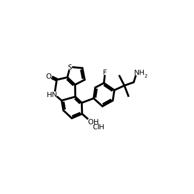 CC(C)(CN)c1ccc(-c2c(O)ccc3[nH]c(=O)c4sccc4c23)cc1F.Cl